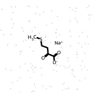 CSCCC(=O)C(=O)[O-].[Na+]